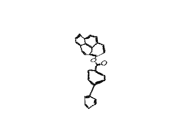 O=C(Oc1ccc2ccc3cccc4ccc1c2c34)c1ccc(-c2ccccc2)cc1